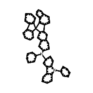 c1ccc(N(c2ccc3cc4c(cc3c2)C2(c3ccccc3-c3ccccc32)c2c-4ccc3ccccc23)c2ccc3c(c2)c2ccccc2n3-c2ccccc2)cc1